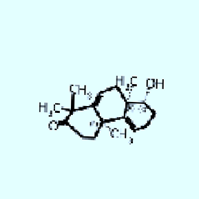 CC1(C)C(=O)CC[C@@]2(C)C1=CC[C@]1(C)C2=CCC[C@H]1O